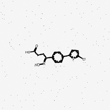 O=C(O)CCC(=NO)c1ccc(-c2ccc(Cl)s2)cc1